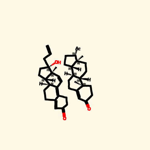 C=CC[C@]1(O)CC[C@H]2[C@@H]3CCC4=CC(=O)CCC4=C3C=C[C@@]21C.CC(=O)[C@H]1CC[C@H]2[C@@H]3CCC4=CC(=O)CC[C@]4(C)[C@H]3CC[C@]12C